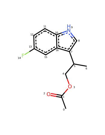 CC(=O)OCC(C)c1c[nH]c2ccc(F)cc12